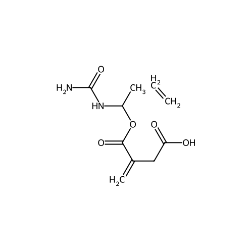 C=C.C=C(CC(=O)O)C(=O)OC(C)NC(N)=O